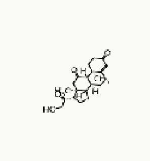 C[C@]12CC(=O)[C@H]3[C@@H](CCC4=CC(=O)CC[C@@]43C)[C@@H]1CC[C@@H]2C(=O)CO